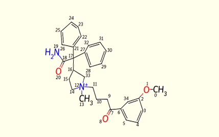 COc1cccc(C(=O)CCC[N+]2(C)CCC(C(C(N)=O)(c3ccccc3)c3ccccc3)C2)c1